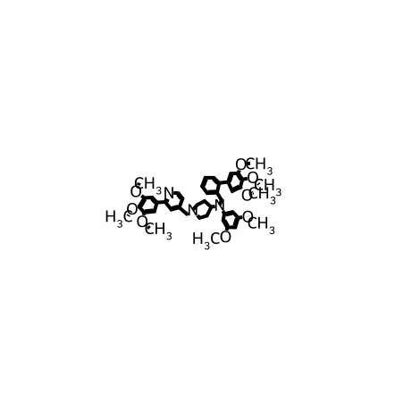 COc1cc(OC)cc(N(Cc2ccccc2-c2cc(OC)c(OC)c(OC)c2)C2CCN(Cc3ccnc(-c4cc(OC)c(OC)c(OC)c4)c3)CC2)c1